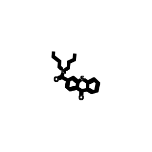 CCCCN(CCCC)C(=O)c1ccc2c(=O)c3ccccc3sc2c1